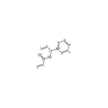 C=CC(=O)OC(C=C)[n+]1ccccc1